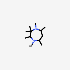 CC(=O)N1C(C)CC(C)N(C)C(C)(C)C1C